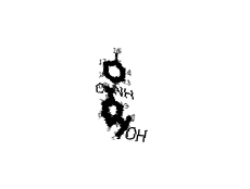 CC(C)(O)c1cccc(C(=O)N[C@H]2CC[C@H](C)CC2)c1